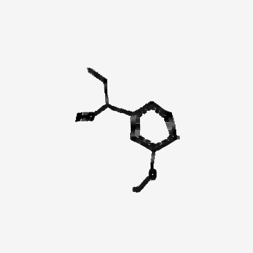 CCC(O)c1cc[c]c(OC)c1